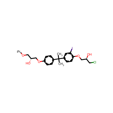 CC(C)OC[C@@H](O)COc1ccc(C(C)(C)c2ccc(OC[C@@H](O)CCl)c(I)c2)cc1